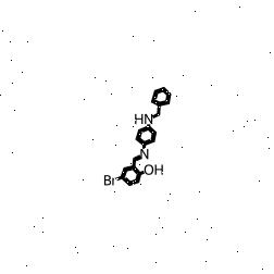 Oc1ccc(Br)cc1C=Nc1ccc(NCc2ccccc2)cc1